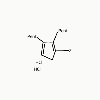 CCCC(C)C1=CC[C]([Zr])=C1C(C)CCC.Cl.Cl